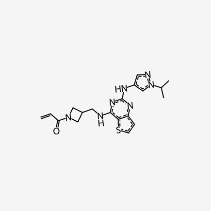 C=CC(=O)N1CC(CNc2nc(Nc3cnn(C(C)C)c3)nc3ccsc23)C1